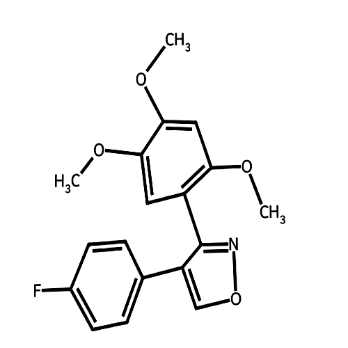 COc1cc(OC)c(-c2nocc2-c2ccc(F)cc2)cc1OC